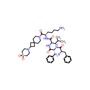 CC(C)CC(NC(=O)[C@@H](Cc1ccccc1)NC(=O)[C@H](N)Cc1ccccc1)C(=O)N[C@H](CCCCN)C(=O)N1CCC2(CC1)CC(N1CCS(=O)(=O)CC1)C2